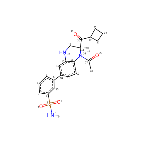 CNS(=O)(=O)c1cccc(-c2ccc3c(c2)NC[C@@](C)(C(=O)C2CCC2)N3C(C)=O)c1